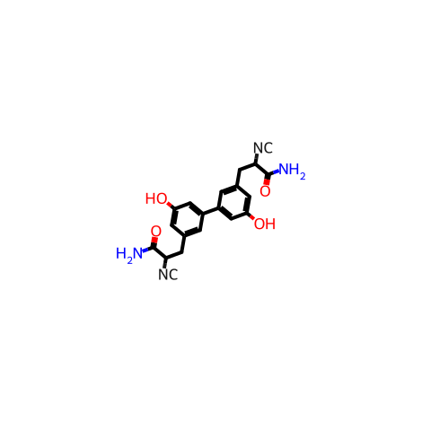 [C-]#[N+]C(Cc1cc(O)cc(-c2cc(O)cc(CC([N+]#[C-])C(N)=O)c2)c1)C(N)=O